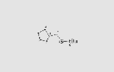 CC(C)(C)SCC1CCCC1